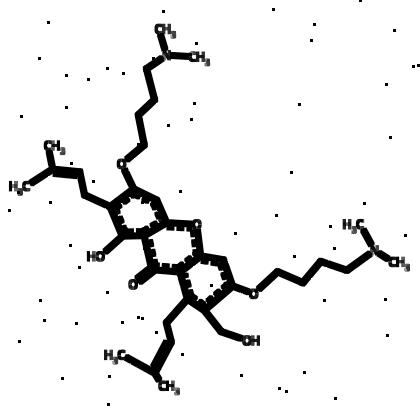 CC(C)=CCc1c(OCCCCN(C)C)cc2oc3cc(OCCCCN(C)C)c(CO)c(CC=C(C)C)c3c(=O)c2c1O